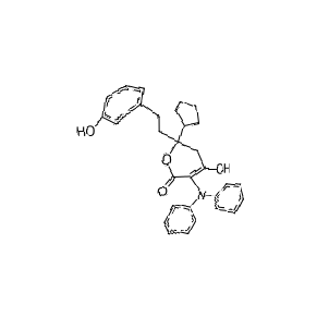 O=C1OC(CCc2cccc(O)c2)(C2CCCC2)CC(O)=C1N(c1ccccc1)c1ccccc1